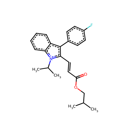 CC(C)COC(=O)/C=C/c1c(-c2ccc(F)cc2)c2ccccc2n1C(C)C